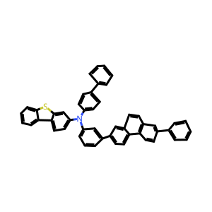 c1ccc(-c2ccc(N(c3cccc(-c4ccc5c(ccc6cc(-c7ccccc7)ccc65)c4)c3)c3ccc4c(c3)sc3ccccc34)cc2)cc1